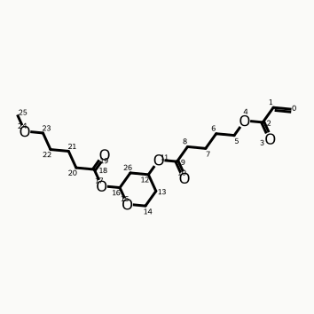 C=CC(=O)OCCCCC(=O)OC1CCOC(OC(=O)CCCCOC)C1